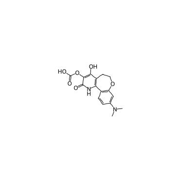 CN(C)c1ccc2c(c1)OCCc1c-2[nH]c(=O)c(OC(=O)O)c1O